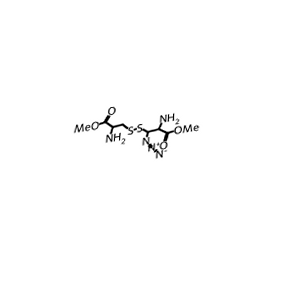 COC(=O)C(N)CSSC(N=[N+]=[N-])C(N)C(=O)OC